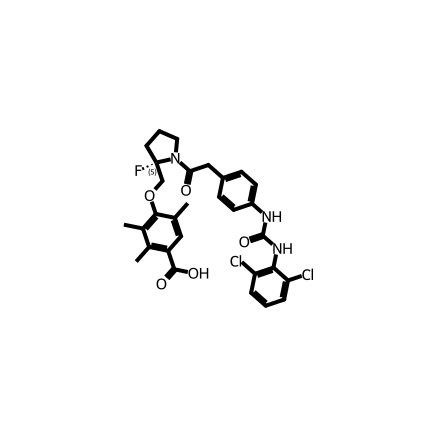 Cc1cc(C(=O)O)c(C)c(C)c1OC[C@@]1(F)CCCN1C(=O)Cc1ccc(NC(=O)Nc2c(Cl)cccc2Cl)cc1